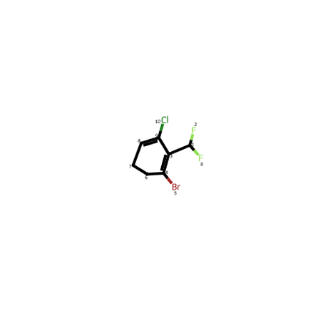 FC(F)C1=C(Br)[CH]CC=C1Cl